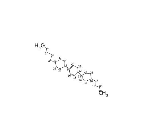 CCCCCC1CC=C(c2ccc(C3=CCC(CCCC)CC3)cc2)CC1